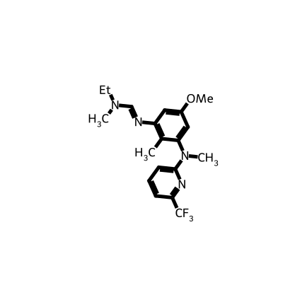 CCN(C)/C=N/c1cc(OC)cc(N(C)c2cccc(C(F)(F)F)n2)c1C